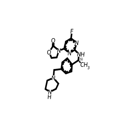 C[C@H](Nc1nc(F)cc(N2CCOC2=O)n1)c1ccc(CN2CCNCC2)cc1